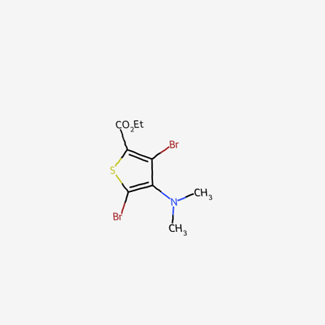 CCOC(=O)c1sc(Br)c(N(C)C)c1Br